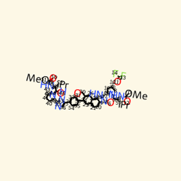 COC(=O)N[C@H](C(=O)N1C[C@@H](COC(F)F)C[C@H]1c1nc2ccc3cc4c(cc3c2[nH]1)COc1cc(-c2cnc([C@@H]3CC[C@H](C)N3C(=O)[C@@H](NC(=O)OC)C(C)C)[nH]2)ccc1-4)C(C)C